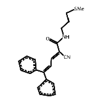 CSCCCNC(=O)/C(C#N)=C/C=C(c1ccccc1)c1ccccc1